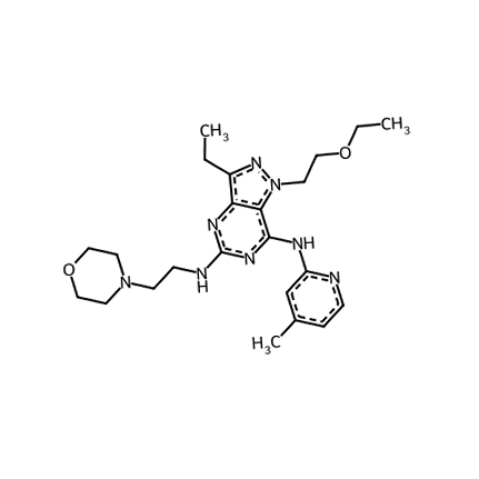 CCOCCn1nc(CC)c2nc(NCCN3CCOCC3)nc(Nc3cc(C)ccn3)c21